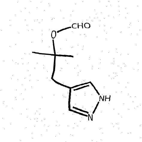 CC(C)(Cc1cn[nH]c1)OC=O